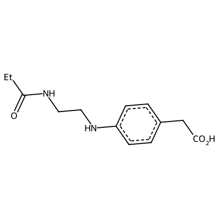 CCC(=O)NCCNc1ccc(CC(=O)O)cc1